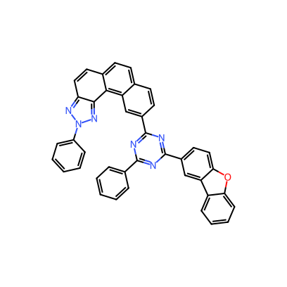 c1ccc(-c2nc(-c3ccc4oc5ccccc5c4c3)nc(-c3ccc4ccc5ccc6nn(-c7ccccc7)nc6c5c4c3)n2)cc1